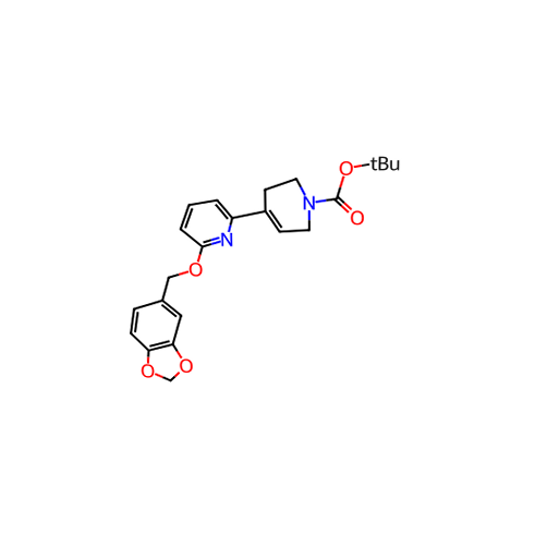 CC(C)(C)OC(=O)N1CC=C(c2cccc(OCc3ccc4c(c3)OCO4)n2)CC1